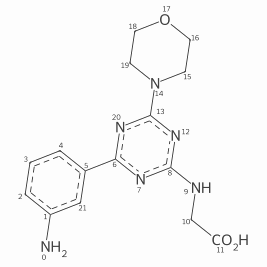 Nc1cccc(-c2nc(NCC(=O)O)nc(N3CCOCC3)n2)c1